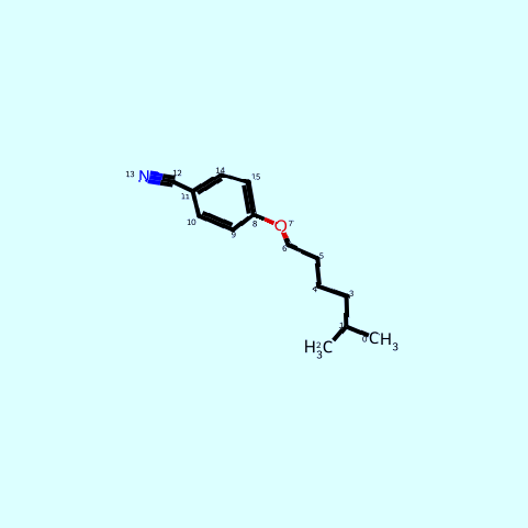 CC(C)CCCCOc1ccc(C#N)cc1